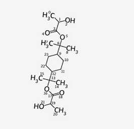 CC(O)C(=O)OC(C)(C)C1CCC(C(C)(C)OC(=O)C(C)O)CC1